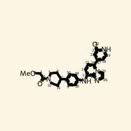 COCC(=O)N1CCC(c2ccc(Nc3ccc(-c4cc[nH]c(=O)c4)n4ccnc34)cc2)CC1